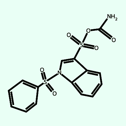 NC(=O)OS(=O)(=O)c1cn(S(=O)(=O)c2ccccc2)c2ccccc12